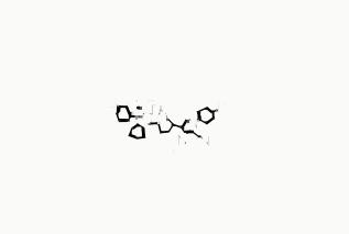 CC(C)(C)[Si](OCC1CCC(c2cn(-c3ccc(Br)cc3)c(C#N)c2N)CO1)(c1ccccc1)c1ccccc1